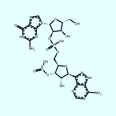 Nc1nc2c(ncn2[C@@H]2O[C@H](CO)[C@@H](O)[C@H]2OP(=O)(O)OC[C@H]2O[C@@H](c3n[nH]c4c(N)ncnc34)[C@H](O)[C@@H]2O[PH](=O)O)c(=O)[nH]1